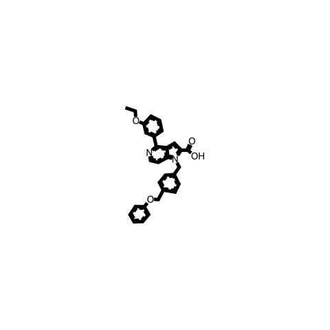 CCOc1cccc(-c2nccc3c2cc(C(=O)O)n3Cc2ccc(COc3ccccc3)cc2)c1